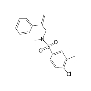 C=C(CN(C)S(=O)(=O)c1ccc(Cl)c(C)c1)c1ccccc1